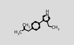 C=C(C)Cc1ccc(-c2c[nH]cc2CC)cc1